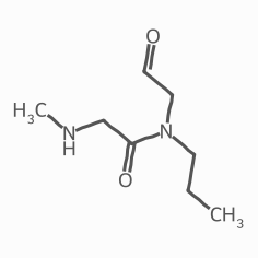 CCCN(CC=O)C(=O)CNC